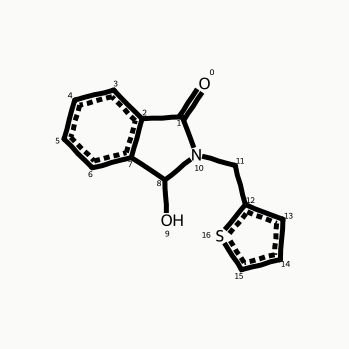 O=C1c2ccccc2C(O)N1Cc1cccs1